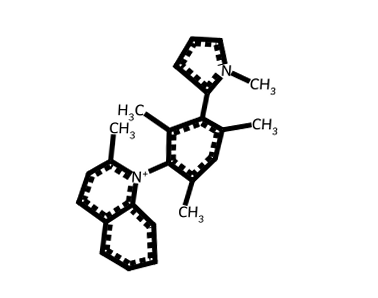 Cc1cc(C)c(-[n+]2c(C)ccc3ccccc32)c(C)c1-c1cccn1C